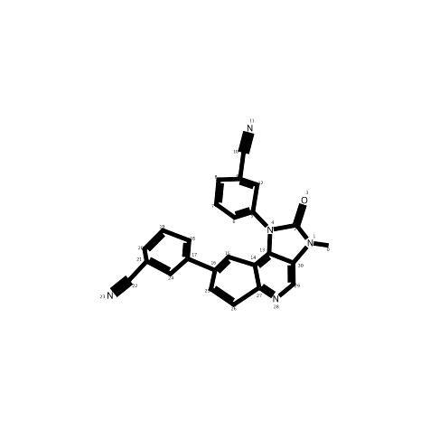 Cn1c(=O)n(-c2cccc(C#N)c2)c2c3cc(-c4cccc(C#N)c4)ccc3ncc21